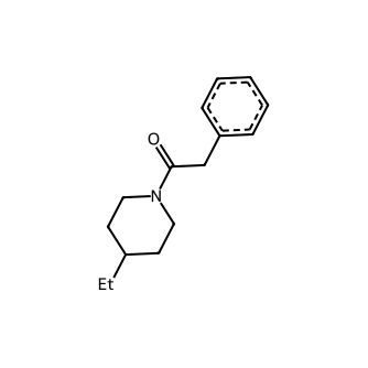 CCC1CCN(C(=O)Cc2ccccc2)CC1